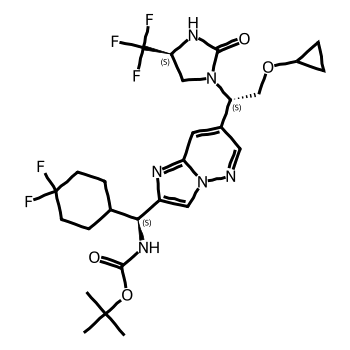 CC(C)(C)OC(=O)N[C@H](c1cn2ncc([C@@H](COC3CC3)N3C[C@@H](C(F)(F)F)NC3=O)cc2n1)C1CCC(F)(F)CC1